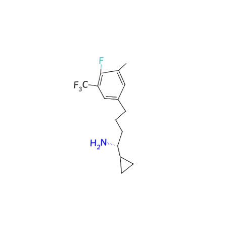 Cc1cc(CCC[C@@H](N)C2CC2)cc(C(F)(F)F)c1F